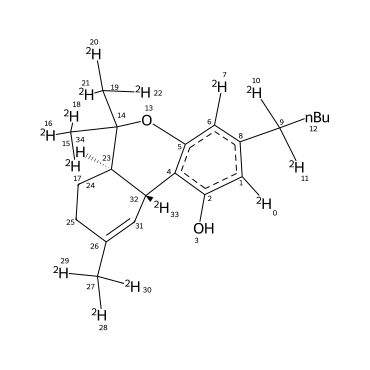 [2H]c1c(O)c2c(c([2H])c1C([2H])([2H])CCCC)OC(C([2H])([2H])[2H])(C([2H])([2H])[2H])[C@@H]1CCC(C([2H])([2H])[2H])=C[C@@]21[2H]